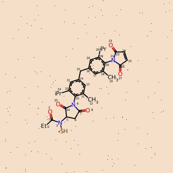 CCC(=O)N(S)C1CC(=O)N(c2c(C)cc(Cc3cc(C)c(N4C(=O)C=CC4=O)c(C(C)C)c3)cc2C(C)C)C1=O